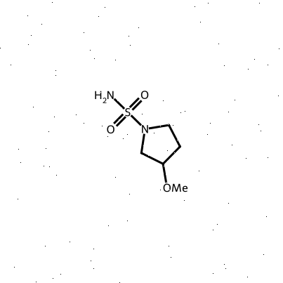 COC1CCN(S(N)(=O)=O)C1